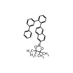 CC1(C)OB(c2ccc3cc(-c4ccccc4-c4cccc(-c5ccccc5)c4)ccc3c2)OC1(C)C